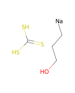 OCC[CH2][Na].S=C(S)S